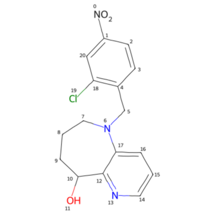 O=[N+]([O-])c1ccc(CN2CCCC(O)c3ncccc32)c(Cl)c1